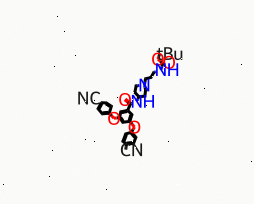 CC(C)(C)OC(=O)NCCCN1CCC(NC(=O)c2cc(Oc3ccc(C#N)cc3)cc(Oc3ccc(C#N)cc3)c2)CC1